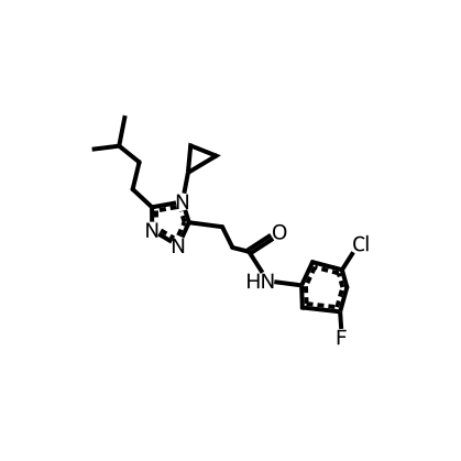 CC(C)CCc1nnc(CCC(=O)Nc2cc(F)cc(Cl)c2)n1C1CC1